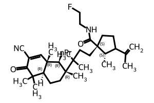 C=C(C)C1CC[C@@](CCC(C)(C)[C@]2(C)CC[C@H]3C(C)(C)C(=O)C(C#N)=C[C@]3(C)[C@H]2CCC)(C(=O)NCCF)[C@H]1C